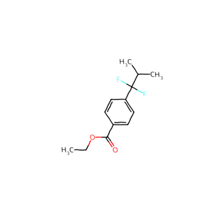 CCOC(=O)c1ccc(C(F)(F)C(C)C)cc1